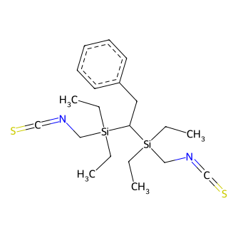 CC[Si](CC)(CN=C=S)C(Cc1ccccc1)[Si](CC)(CC)CN=C=S